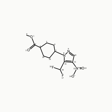 COC(=O)C1CCC(n2ncc([N+](=O)[O-])c2C(F)F)CC1